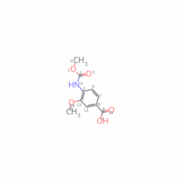 COC(=O)Nc1ccc(C(=O)O)cc1OC